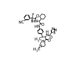 CC(c1ccc(NC(=O)C(NC(=O)C(F)(F)c2cccc(C#N)c2)C2CCCCC2)cc1)C(NC(=O)c1cnns1)C(=O)N1CCN(C)CC1